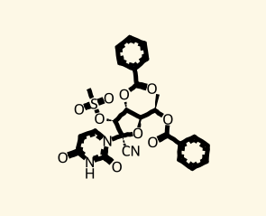 C[C@@H](OC(=O)c1ccccc1)[C@H]1O[C@@](C#N)(n2ccc(=O)[nH]c2=O)[C@H](OS(C)(=O)=O)[C@@H]1OC(=O)c1ccccc1